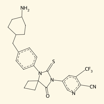 N#Cc1ncc(N2C(=O)C3(CCC3)N(c3ccc(CC4CCC(N)CC4)cc3)C2=S)cc1C(F)(F)F